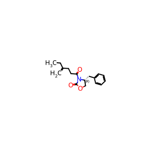 C=C(CC)CCC(=O)N1C(=O)OC[C@H]1Cc1ccccc1